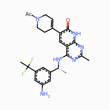 CC(=O)N1CC=C(c2cc3c(N[C@H](C)c4cc(N)cc(C(C)(F)F)c4)nc(C)nc3[nH]c2=O)CC1